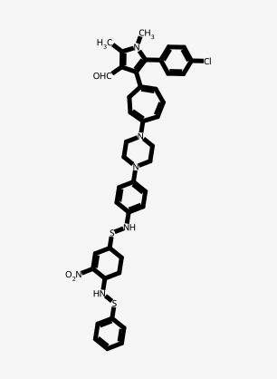 Cc1c(C=O)c(C2=CC=CC(N3CCN(c4ccc(NSC5C=C([N+](=O)[O-])C(NSc6ccccc6)CC5)cc4)CC3)=CC2)c(-c2ccc(Cl)cc2)n1C